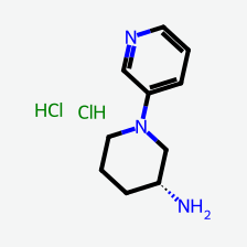 Cl.Cl.N[C@@H]1CCCN(c2cccnc2)C1